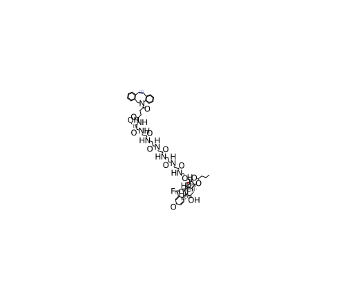 CCCC1O[C@@H]2C[C@H]3[C@@H]4C[C@H](F)C5=CC(=O)C=C[C@]5(C)[C@@]4(F)[C@@H](O)C[C@]3(C)[C@]2(C(=O)COCNC(=O)CNC(=O)CNC(=O)CNC(=O)CNC(=O)CNC(=O)[C@H](CO)NC(=O)CCC(=O)N2Cc3ccccc3/C=C\c3ccccc32)O1